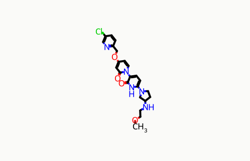 COCCNC1CCN(c2ccc(-n3ccc(OCc4ccc(Cl)cn4)cc3=O)c(=O)[nH]2)C1